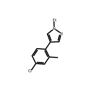 CCn1cc(-c2ccc(Cl)cc2C)cn1